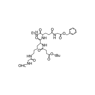 CCNC(=O)C(CCC(=O)NCC(=O)OCc1ccccc1)NC(=O)C(CCCCNC(=O)CNC=O)NC(=O)CCC(=O)OC(C)(C)C